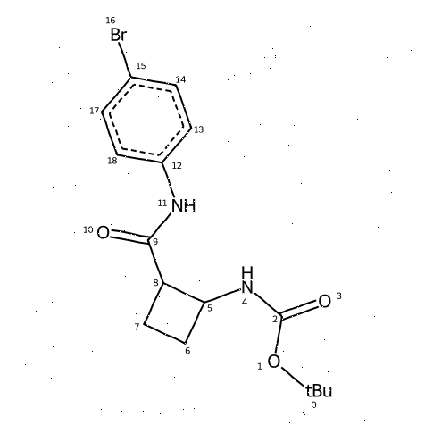 CC(C)(C)OC(=O)NC1CCC1C(=O)Nc1ccc(Br)cc1